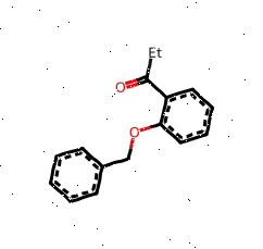 CCC(=O)c1ccccc1OCc1ccccc1